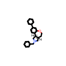 c1ccc(CN2C[C@H]3CCOc4cc(-c5ccccc5)ccc4[C@@H]3C2)cc1